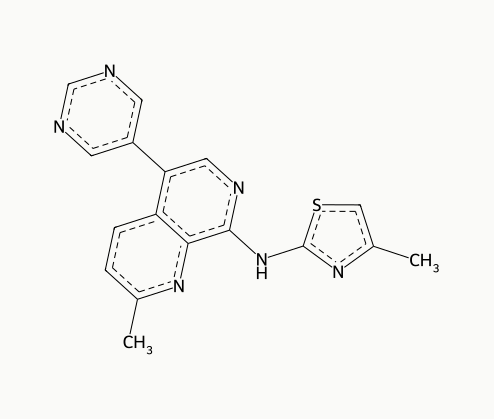 Cc1csc(Nc2ncc(-c3cncnc3)c3ccc(C)nc23)n1